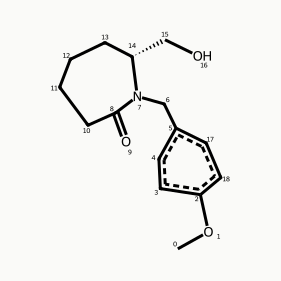 COc1ccc(CN2C(=O)CCCC[C@@H]2CO)cc1